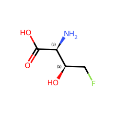 N[C@H](C(=O)O)[C@H](O)CF